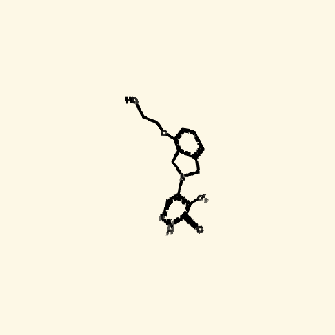 O=c1[nH]ncc(N2Cc3cccc(OCCO)c3C2)c1C(F)(F)F